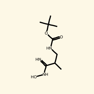 CC(CNC(=O)OC(C)(C)C)C(=N)NO